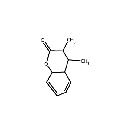 CC1C(=O)OC2C=CC=CC2C1C